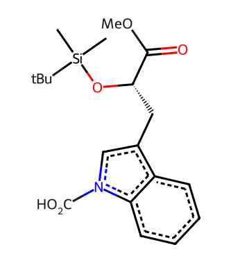 COC(=O)[C@H](Cc1cn(C(=O)O)c2ccccc12)O[Si](C)(C)C(C)(C)C